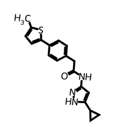 Cc1ccc(-c2ccc(CC(=O)Nc3cc(C4CC4)[nH]n3)cc2)s1